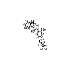 COc1cc(CO[Si](C)(C)C(C)(C)C)ccc1NC(=O)c1cnn2cccnc12